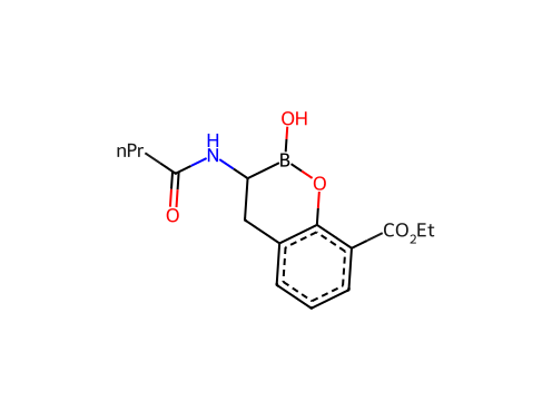 CCCC(=O)NC1Cc2cccc(C(=O)OCC)c2OB1O